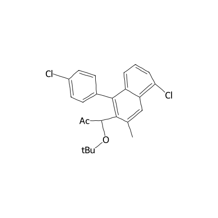 CC(=O)C(OC(C)(C)C)c1c(C)cc2c(Cl)cccc2c1-c1ccc(Cl)cc1